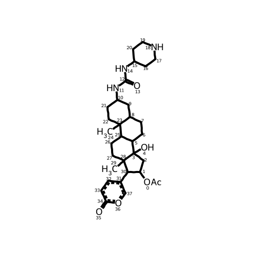 CC(=O)OC1CC2(O)C3CCC4CC(NC(=O)NC5CCNCC5)CCC4(C)C3CCC2(C)C1c1ccc(=O)oc1